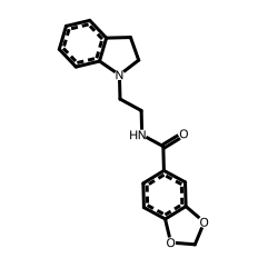 O=C(NCCN1CCc2ccccc21)c1ccc2c(c1)OCO2